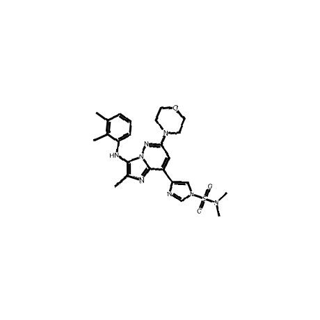 Cc1cccc(Nc2c(C)nc3c(-c4cn(S(=O)(=O)N(C)C)cn4)cc(N4CCOCC4)nn23)c1C